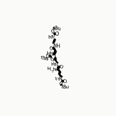 CC(C)(C)OC(=O)NCCC[C@H](N)C(=O)NCCC[C@@H](CC(=O)NCCNC(=O)OC(C)(C)C)NC(=O)OC(C)(C)C